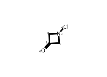 O=C1CN(Cl)C1